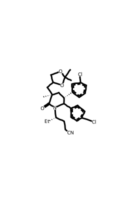 CC[C@@H](CCC#N)N1C(=O)[C@@](C)(CC2COC(C)(C)O2)C[C@H](c2cccc(Cl)c2)C1c1ccc(Cl)cc1